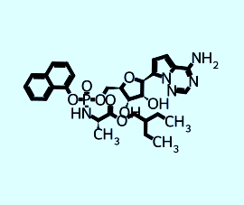 CCC(CC)COC(=O)[C@H](C)NP(=O)(OC[C@H]1O[C@@H](c2ccc3c(N)ncnn23)[C@H](O)[C@@H]1O)Oc1cccc2ccccc12